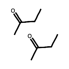 CCC(C)=O.CCC(C)=O